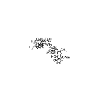 COc1c2c(c(O)c3c4c(c(C)cc13)C1OC3(COC5CC(C)(O)C(OC6CC(C)(O)C(OC(C)O)C(C)O6)C(C)O5)OC1[C@@](OC)(O4)[C@@]31CO1)C(=O)CCC2